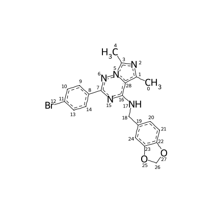 Cc1nc(C)n2nc(-c3ccc(Br)cc3)nc(NCc3ccc4c(c3)OCO4)c12